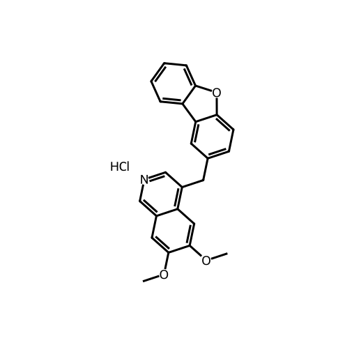 COc1cc2cncc(Cc3ccc4oc5ccccc5c4c3)c2cc1OC.Cl